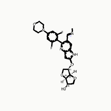 C/N=C/c1cc2[nH]c(O[C@@H]3CO[C@H]4[C@@H]3OC[C@H]4O)cc2nc1-c1c(F)cc(N2CCOCC2)cc1F